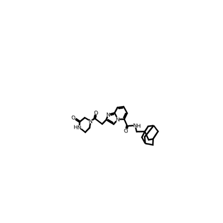 O=C1CN(C(=O)Cc2cn3c(C(=O)NCC45CC6CC(CC(C6)C4)C5)cccc3n2)CCN1